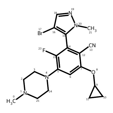 CN1CCN(c2cc(OC3CC3)c(C#N)c(-c3c(Br)cnn3C)c2F)CC1